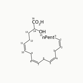 CCCCC/C=C\C/C=C\C/C=C\C/C=C\CCC(O)C(=O)O